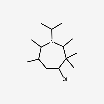 CC1CC(O)C(C)(C)C(C)N(C(C)C)C1C